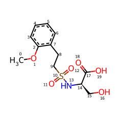 COc1ccccc1CCS(=O)(=O)N[C@H](CO)C(=O)O